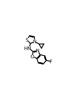 Fc1ccc2oc(NC3SC=CN3C3CC3)nc2c1